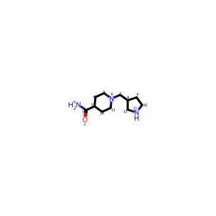 NC(=O)C1CCN(CC2CCNC2)CC1